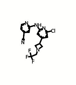 N#Cc1ccnc(Nc2cc(C3CN(CC(F)(F)F)C3)cc(Cl)n2)c1